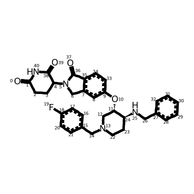 O=C1CCC(N2Cc3cc(O[C@H]4CN(Cc5ccc(F)cc5)CC[C@@H]4NCc4ccccc4)ccc3C2=O)C(=O)N1